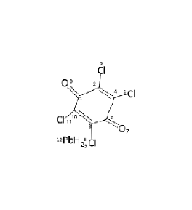 O=C1C(Cl)=C(Cl)C(=O)C(Cl)=C1Cl.[PbH2]